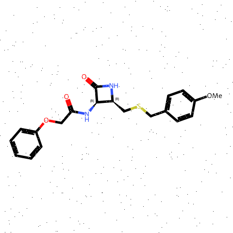 COc1ccc(CSC[C@@H]2NC(=O)[C@@H]2NC(=O)COc2ccccc2)cc1